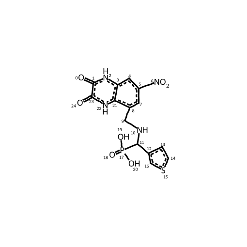 O=c1[nH]c2cc([N+](=O)[O-])cc(CNC(c3ccsc3)P(=O)(O)O)c2[nH]c1=O